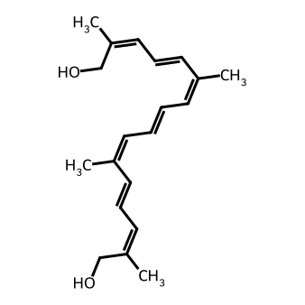 CC(C=CC=C(C)CO)=CC=CC=C(C)C=CC=C(C)CO